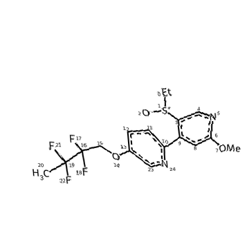 CC[S+]([O-])c1cnc(OC)cc1-c1ccc(OCC(F)(F)C(C)(F)F)cn1